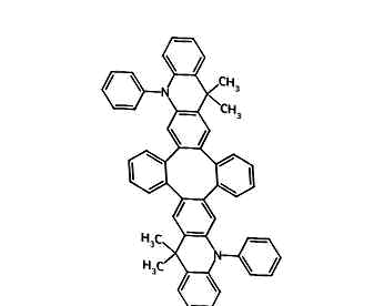 CC1(C)c2ccccc2N(c2ccccc2)c2cc3c(cc21)-c1ccccc1-c1cc2c(cc1-c1ccccc1-3)C(C)(C)c1ccccc1N2c1ccccc1